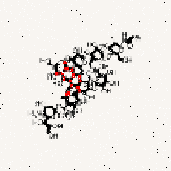 CC1C(O)[C@H](O[C@@H]2OC(CO)[C@H](O)C(O)[C@@H]2O)[C@H](CO)O[C@H]1O[C@@H]1C(O)[C@H](O)C(CO)O[C@@H]1OCC1O[C@@H](O[C@@H]2C(CO)O[C@@H](O[C@@H]3C(CO)O[C@@H](NC(=O)CBr)[C@@H](C)C3O)[C@@H](C)C2O)[C@H](O)C(O[C@H]2O[C@H](CO)[C@@H](O)C(O)C2O[C@@H]2OC(CO)[C@@H](O[C@@H]3OC(C)[C@H](C(O)O[C@]4(C(=O)O)C[C@@H](O)[C@@H](N)C([C@H](O)[C@H](O)CO)O4)C(O)[C@@H]3O)C(O)[C@@H]2C)[C@@H]1O